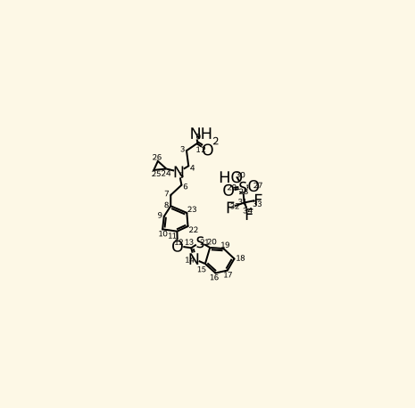 NC(=O)CCN(CCc1ccc(Oc2nc3ccccc3s2)cc1)C1CC1.O=S(=O)(O)C(F)(F)F